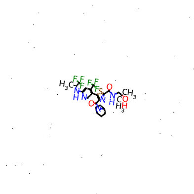 C[C@H](Nc1cc(C(F)(F)F)c(-c2sc(C(=O)NCC(C)(C)O)nc2C(=O)N2C3CCC2CC3)cn1)C(F)(F)F